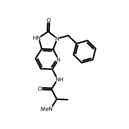 CNC(C)C(=O)Nc1ccc2[nH]c(=O)n(Cc3ccccc3)c2n1